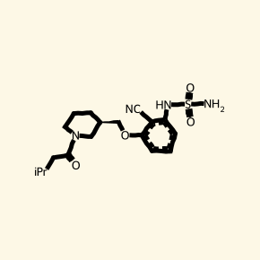 CC(C)CC(=O)N1CCC[C@@H](COc2cccc(NS(N)(=O)=O)c2C#N)C1